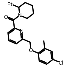 CCC1CCCCN1C(=O)c1cccc(COc2ccc(Cl)cc2C)n1